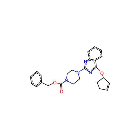 O=C(OCc1ccccc1)N1CCN(c2nc(OC3C=CCC3)c3ccccc3n2)CC1